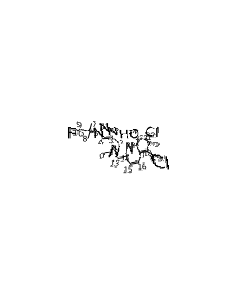 CN(Cc1cn(C(C)(C)CF)nn1)Cc1ccc2c(Cl)cc(Cl)c(O)c2n1